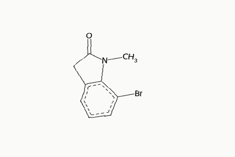 CN1C(=O)Cc2cccc(Br)c21